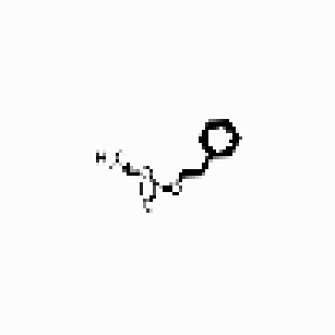 C=CO[PH](=O)OC=Cc1ccccc1